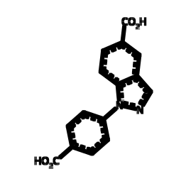 O=C(O)c1ccc(-n2ncc3cc(C(=O)O)ccc32)cc1